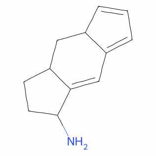 NC1CCC2CC3C=CC=C3C=C12